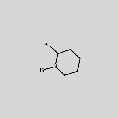 CCCC1CCCCN1S